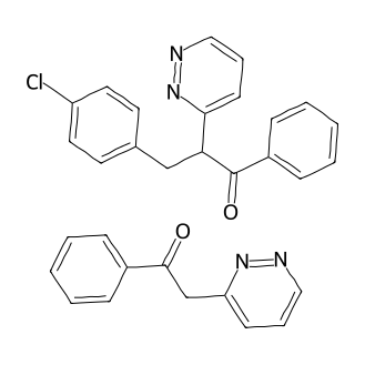 O=C(Cc1cccnn1)c1ccccc1.O=C(c1ccccc1)C(Cc1ccc(Cl)cc1)c1cccnn1